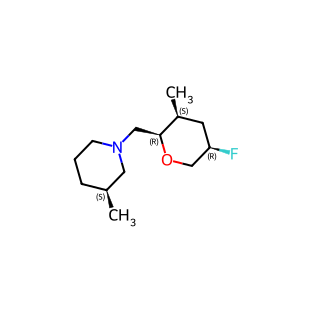 C[C@H]1CCCN(C[C@@H]2OC[C@H](F)C[C@@H]2C)C1